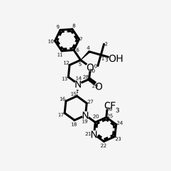 CC(C)(O)C[C@]1(c2ccccc2)CCN([C@H]2CCCN(c3ncccc3C(F)(F)F)C2)C(=O)O1